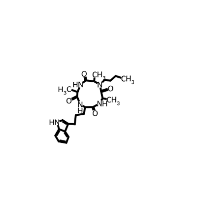 CCCCN1C(=O)C(C)NC(=O)C(CCCc2c[nH]c3ccccc23)NC(=O)C(C)NC(=O)C1C